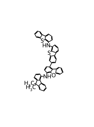 CC1(C)c2ccccc2-c2c(Nc3ccc(-c4ccc5c(c4)sc4c(Nc6cccc7c6sc6ccccc67)cccc45)c4c3oc3ccccc34)cccc21